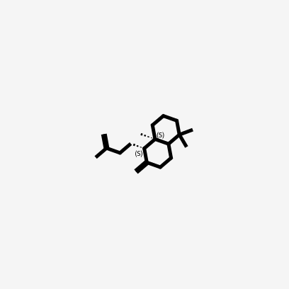 C=C(C)CC[C@H]1C(=C)CCC2C(C)(C)CCC[C@@]21C